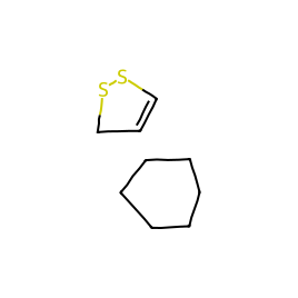 C1=CSSC1.C1CCCCC1